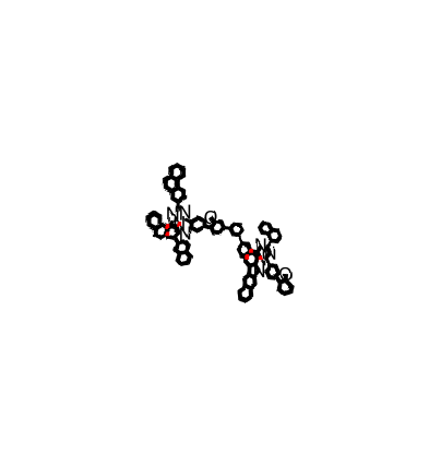 c1cc(-c2cccc(-c3nc(-c4cc5oc6ccccc6c5cc4-n4c5ccccc5c5cc6ccccc6cc54)nc(-c4cccc5ccccc45)n3)c2)cc(-c2ccc3c(c2)oc2cc(-c4nc(-c5ccc6c(ccc7ccccc76)c5)nc(-c5cccc6ccccc56)n4)c(-n4c5ccccc5c5cc6ccccc6cc54)cc23)c1